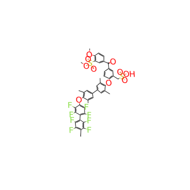 COc1ccc(C(=O)c2ccc(Oc3c(C)cc(-c4cc(C)c(Oc5c(F)c(F)c(-c6c(F)c(F)c(C)c(F)c6F)c(F)c5F)c(C)c4)cc3C)c(CS(=O)(=O)O)c2)cc1S(=O)(=O)OC